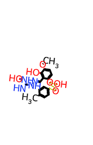 COc1cccc(C=NNC(=N)NO)c1O.Cc1ccc(S(=O)(=O)O)cc1